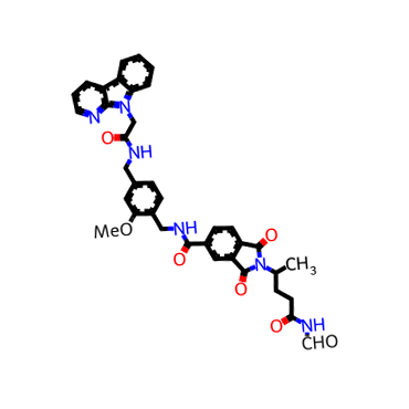 COc1cc(CNC(=O)Cn2c3ccccc3c3cccnc32)ccc1CNC(=O)c1ccc2c(c1)C(=O)N(C(C)CCC(=O)NC=O)C2=O